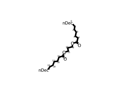 CCCCCCCCCCCCCCCC(=O)O[CH][CH]COC(=O)CCCCCCCCCCCCCCC